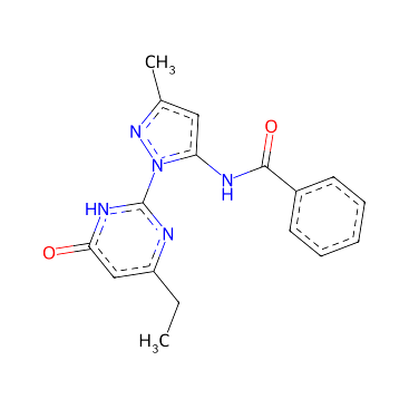 CCc1cc(=O)[nH]c(-n2nc(C)cc2NC(=O)c2ccccc2)n1